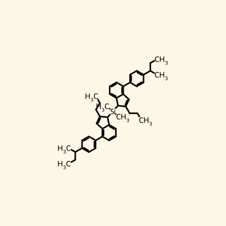 CCCC1=Cc2c(-c3ccc(C(C)CC)cc3)cccc2C1[Si](C)(C)C1C(CCC)=Cc2c(-c3ccc(C(C)CC)cc3)cccc21